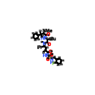 CNC(C(=O)NC(C(=O)N(C)C(/C=C(\C)C(=O)NS(=O)(=O)NCc1ccccc1F)C(C)C)C(C)(C)C)C(C)(C)c1ccccc1